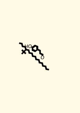 CCCCCCCCCCCCCC(CCCC)C(C)(C)C.O=CCCc1ccc(O)cc1